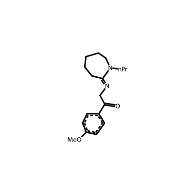 CCCN1CCCCC/C1=N\CC(=O)c1ccc(OC)cc1